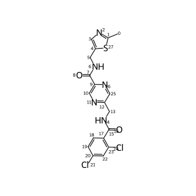 Cc1ncc(CNC(=O)c2cnc(CNC(=O)c3ccc(Cl)cc3Cl)cn2)s1